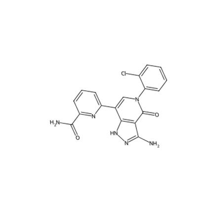 NC(=O)c1cccc(-c2cn(-c3ccccc3Cl)c(=O)c3c(N)n[nH]c23)n1